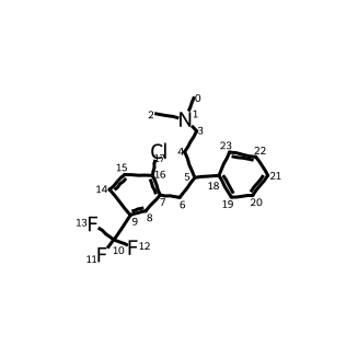 CN(C)CCC(Cc1cc(C(F)(F)F)ccc1Cl)c1ccccc1